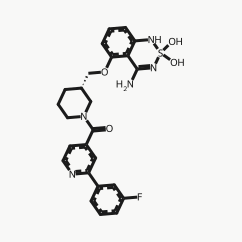 NC1=NS(O)(O)Nc2cccc(OC[C@H]3CCCN(C(=O)c4ccnc(-c5cccc(F)c5)c4)C3)c21